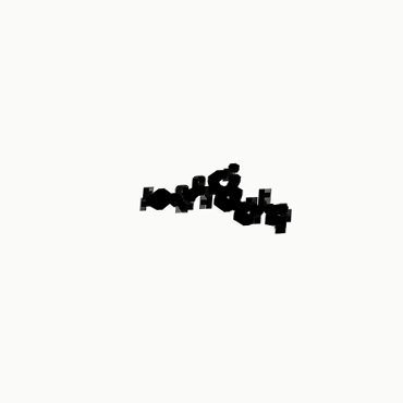 CN1CCC(NC(=O)c2nnc(C3CC(F)(F)C3)o2)c2ccc(-c3ccnc(Nc4cnn(C)c4)n3)cc2C1